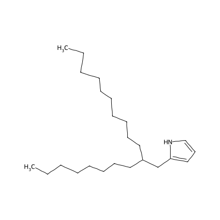 CCCCCCCCCCC(CCCCCCCC)Cc1ccc[nH]1